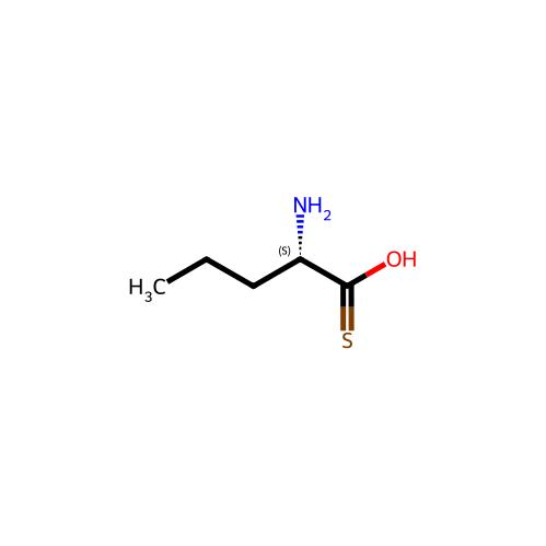 CCC[C@H](N)C(O)=S